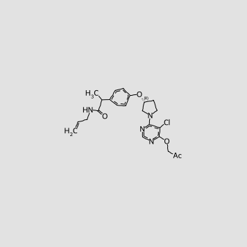 C=CCNC(=O)C(C)c1ccc(O[C@@H]2CCN(c3ncnc(OCC(C)=O)c3Cl)C2)cc1